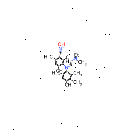 CCN(C)CCN(c1c(C)cc(C)c(C)c1C)c1c(C)cc(C)c(C#[N+]O)c1C